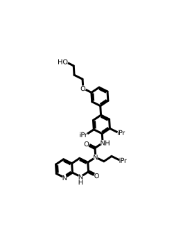 CC(C)CCN(C(=O)Nc1c(C(C)C)cc(-c2cccc(OCCCO)c2)cc1C(C)C)c1cc2cccnc2[nH]c1=O